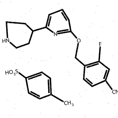 Cc1ccc(S(=O)(=O)O)cc1.N#Cc1ccc(COc2cccc(C3CCNCC3)n2)c(F)c1